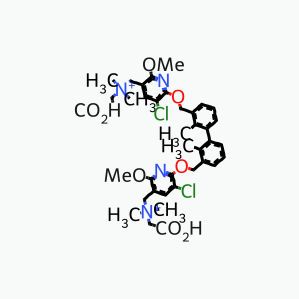 COc1nc(OCc2cccc(-c3cccc(COc4nc(OC)c(C[N+](C)(C)CC(=O)O)cc4Cl)c3C)c2C)c(Cl)cc1C[N+](C)(C)CC(=O)O